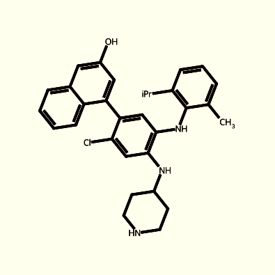 Cc1cccc(C(C)C)c1Nc1cc(-c2cc(O)cc3ccccc23)c(Cl)cc1NC1CCNCC1